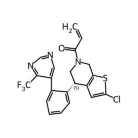 C=CC(=O)N1Cc2sc(Cl)cc2[C@H](c2ccccc2-c2cncnc2C(F)(F)F)C1